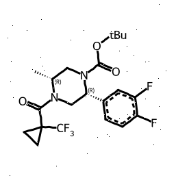 C[C@@H]1CN(C(=O)OC(C)(C)C)[C@H](c2ccc(F)c(F)c2)CN1C(=O)C1(C(F)(F)F)CC1